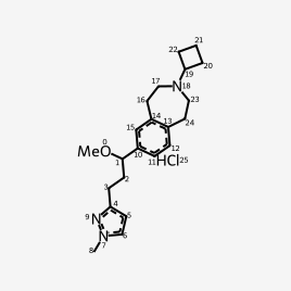 COC(CCc1ccn(C)n1)c1ccc2c(c1)CCN(C1CCC1)CC2.Cl